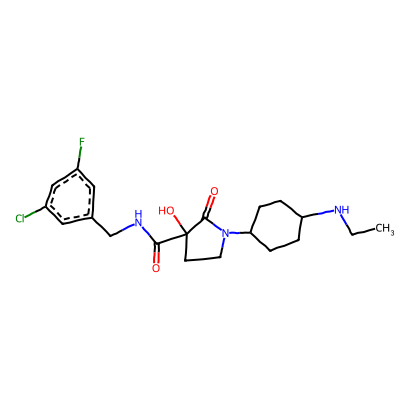 CCNC1CCC(N2CCC(O)(C(=O)NCc3cc(F)cc(Cl)c3)C2=O)CC1